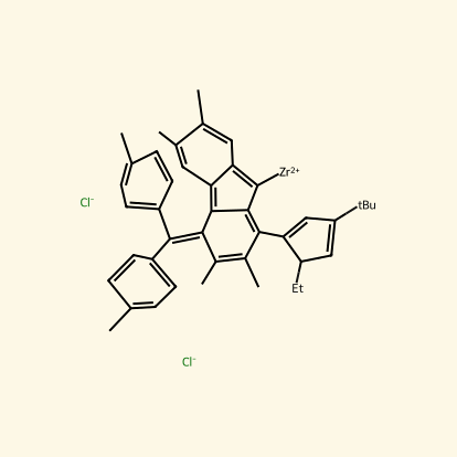 CCC1C=C(C(C)(C)C)C=C1c1c(C)c(C)c(=C(c2ccc(C)cc2)c2ccc(C)cc2)c2c1[C]([Zr+2])=c1cc(C)c(C)cc1=2.[Cl-].[Cl-]